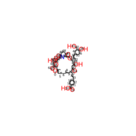 CO[C@H]1C[C@@H](C)C/C(C)=C/C(C/C=C/c2ccc(C(=O)O)cc2)C(=O)C[C@H](O)[C@@H](C)[C@@H](/C(C)=C/C2CC[C@@H](O)[C@H](CO)C2)OC(=O)C2CCCCN2C(=O)C(=O)[C@]2(O)OC1[C@@H](OC)C[C@H]2C